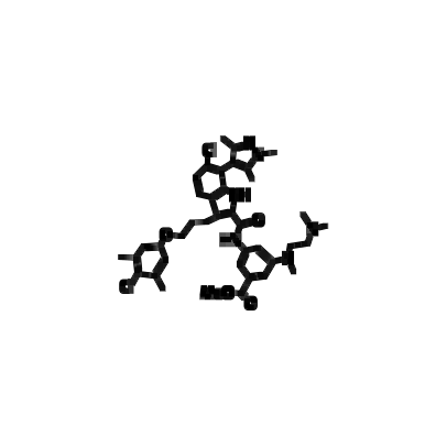 COC(=O)c1cc(NC(=O)c2[nH]c3c(-c4c(C)nn(C)c4C)c(Cl)ccc3c2CCCOc2cc(C)c(Cl)c(C)c2)cc(N(C)CCN(C)C)c1